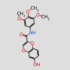 COc1cc(NC(=O)C2=COc3cc(O)ccc3O2)cc(OC)c1OC